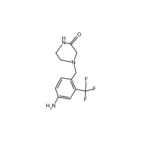 Nc1ccc(CN2CCNC(=O)C2)c(C(F)(F)F)c1